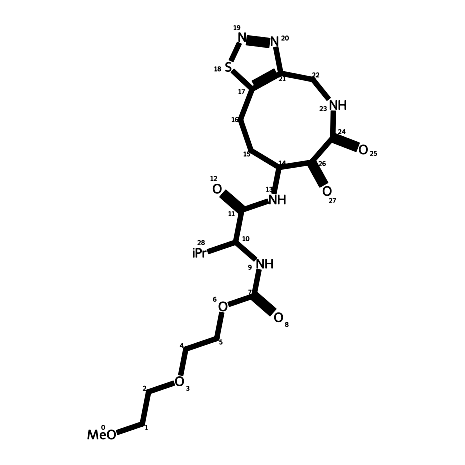 COCCOCCOC(=O)NC(C(=O)NC1CCc2snnc2CNC(=O)C1=O)C(C)C